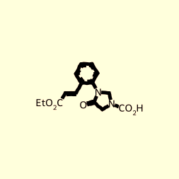 CCOC(=O)/C=C/c1ccccc1N1CN(C(=O)O)CC1=O